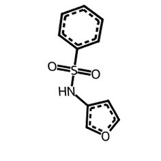 O=S(=O)(Nc1ccoc1)c1ccccc1